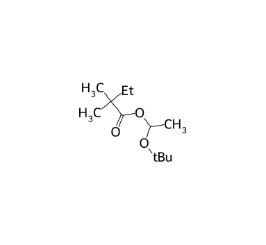 CCC(C)(C)C(=O)OC(C)OC(C)(C)C